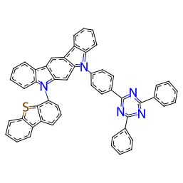 c1ccc(-c2nc(-c3ccccc3)nc(-c3ccc(-n4c5ccccc5c5cc6c7ccccc7n(-c7cccc8c7sc7ccccc78)c6cc54)cc3)n2)cc1